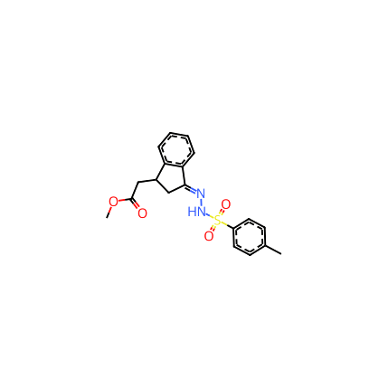 COC(=O)CC1CC(=NNS(=O)(=O)c2ccc(C)cc2)c2ccccc21